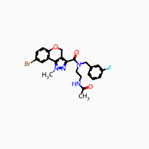 CC(=O)NCCN(Cc1cccc(F)c1)C(=O)c1nn(C)c2c1COc1ccc(Br)cc1-2